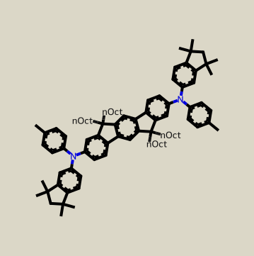 CCCCCCCCC1(CCCCCCCC)c2cc(N(c3ccc(C)cc3)c3ccc4c(c3)C(C)(C)CC4(C)C)ccc2-c2cc3c(cc21)-c1ccc(N(c2ccc(C)cc2)c2ccc4c(c2)C(C)(C)CC4(C)C)cc1C3(CCCCCCCC)CCCCCCCC